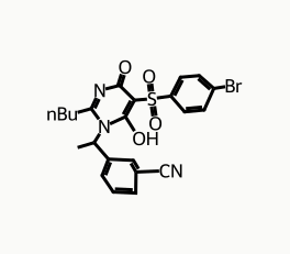 CCCCc1nc(=O)c(S(=O)(=O)c2ccc(Br)cc2)c(O)n1C(C)c1cccc(C#N)c1